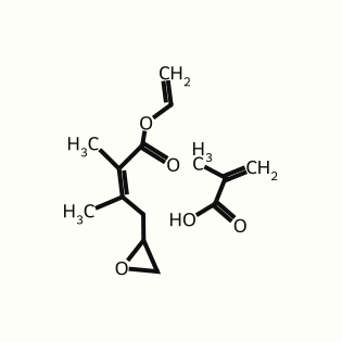 C=C(C)C(=O)O.C=COC(=O)C(C)=C(C)CC1CO1